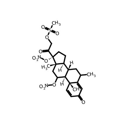 CC1C[C@@H]2[C@H](C(O[N+](=O)[O-])C[C@@]3(C)[C@H]2CC[C@]3(O[N+](=O)[O-])C(=O)COS(C)(=O)=O)[C@@]2(C)C=CC(=O)C=C12